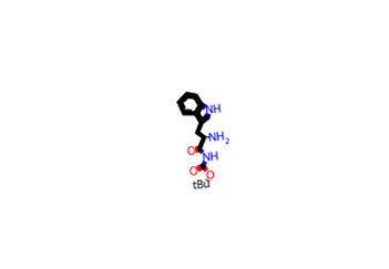 CC(C)(C)OC(=O)NC(=O)[C@@H](N)Cc1c[nH]c2ccccc12